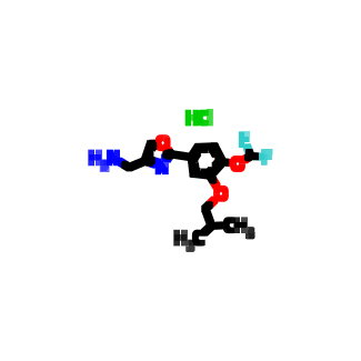 CC(C)COc1cc(-c2nc(CN)co2)ccc1OC(F)F.Cl